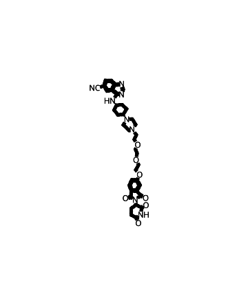 N#Cc1ccc2ncnc(N[C@H]3CC[C@H](N4CCN(CCOCCOCCOc5ccc6c(c5)C(=O)N(C5CCC(=O)NC5=O)C6=O)CC4)CC3)c2c1